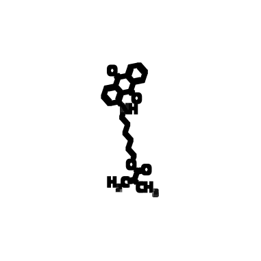 C=C(C)C(=O)OCCCCCCNc1cccc2c1C(=O)c1ccccc1C2=O